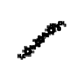 CC(=O)Nc1ccc(N=Nc2nc3sc(N=Nc4ccc(C)cc4)cc3s2)cc1